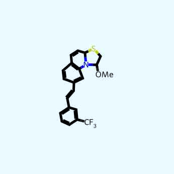 COC1CSC2C=Cc3ccc(/C=C/c4cccc(C(F)(F)F)c4)cc3N12